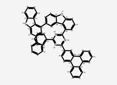 c1ccc(-c2cc(-c3ccc4oc5cccc(-c6nc(-c7ccccc7)nc(-c7ccc8c9ccccc9c9ccccc9c8c7)n6)c5c4c3)c3c(c2)sc2ccccc23)cc1